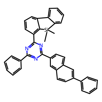 C[Si]1(C)c2ccccc2-c2cccc(-c3nc(-c4ccccc4)nc(-c4ccc5cc(-c6ccccc6)ccc5c4)n3)c21